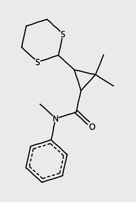 CN(C(=O)C1C(C2SCCCS2)C1(C)C)c1ccccc1